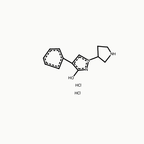 Cl.Cl.Oc1nn(C2CCNC2)cc1-c1ccccc1